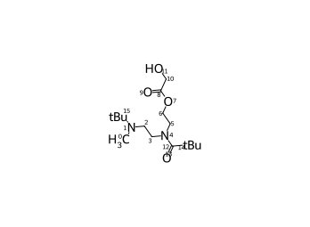 CN(CCN(CCOC(=O)CO)C(=O)C(C)(C)C)C(C)(C)C